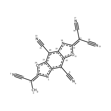 C/C(C#N)=c1\nc2c(C#N)c3oc(=C(C#N)C#N)nc3c(C#N)c2o1